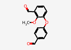 COc1c(C=O)cccc1Oc1ccc(C=O)cc1